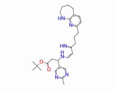 Cc1ncc(C(CC(=O)OC(C)(C)C)N/C=C\C(=N)CCCc2ccc3c(n2)NCCCC3)cn1